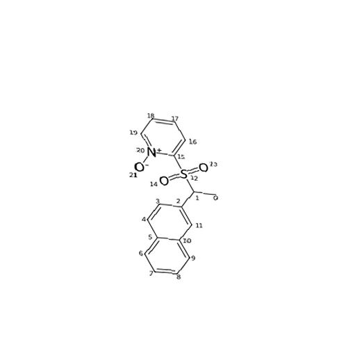 CC(c1ccc2ccccc2c1)S(=O)(=O)c1cccc[n+]1[O-]